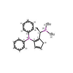 C[C@H](C1=C(P(c2ccccc2)c2ccccc2)C=CC1)P(C(C)(C)C)C(C)(C)C